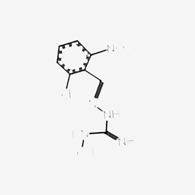 N=C(NO)NN=Cc1c(Cl)cccc1[N+](=O)[O-]